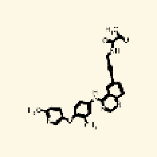 CC(=O)C(=O)NCC#Cc1ccc2ncnc(Nc3ccc(Oc4ccc(C)nc4)c(C)c3)c2c1